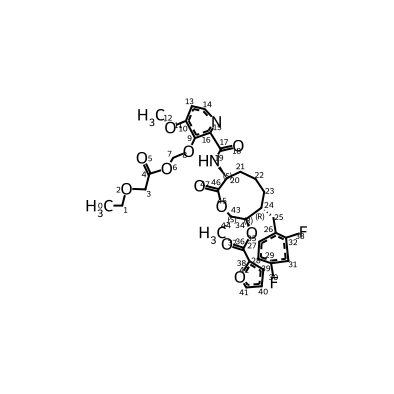 CCOCC(=O)OCOc1c(OC)ccnc1C(=O)N[C@H]1CCC[C@H](Cc2ccc(F)cc2F)[C@@H](OC(=O)c2ccco2)[C@H](C)OC1=O